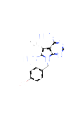 N#Cc1c(N)n(Cc2ccc(Br)cc2)c2ncnc(N)c12